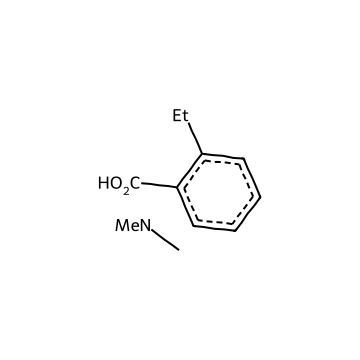 CCc1ccccc1C(=O)O.CNC